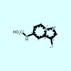 O=C(O)Nc1ccn2ncc(I)c2c1